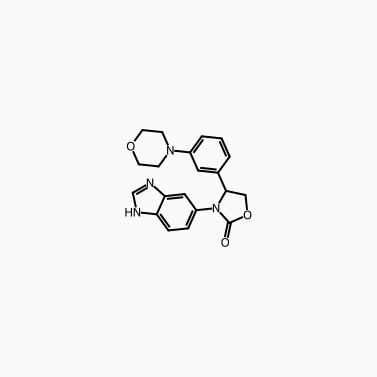 O=C1OCC(c2cccc(N3CCOCC3)c2)N1c1ccc2[nH]cnc2c1